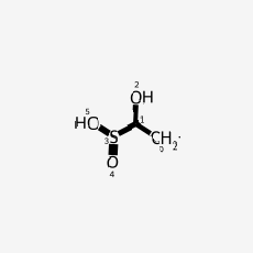 [CH2]C(O)S(=O)O